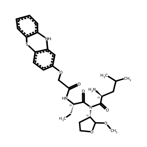 CC[C@H](NC(=O)COc1ccc2c(c1)Nc1ccccc1S2)C(=O)N(C(=O)[C@@H](N)CC(C)C)[C@H]1CCOC1OC